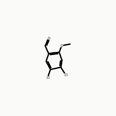 COc1cc(Cl)c(Cl)cc1C=O